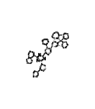 c1ccc(-c2cccc(-c3nc(-c4ccc(-c5ccc6c(c5)-c5ccccc5C65c6ccccc6-c6ccccc65)c(-c5ccccc5)c4)nc(-c4cccc5ccccc45)n3)c2)cc1